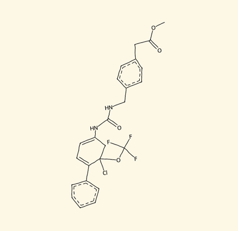 COC(=O)Cc1ccc(CNC(=O)NC2=CC=C(c3ccccc3)C(Cl)(OC(F)(F)F)C2)cc1